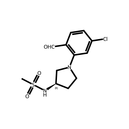 CS(=O)(=O)N[C@@H]1CCN(c2cc(Cl)ccc2C=O)C1